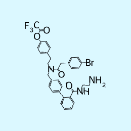 NCCNC(=O)c1ccccc1-c1ccc(CN(CCc2ccc(OC(=O)C(F)(F)F)cc2)C(=O)Cc2ccc(Br)cc2)cc1